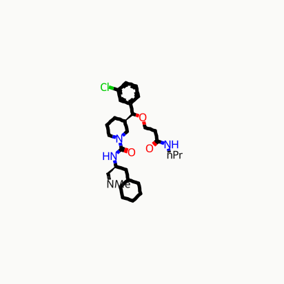 CCCNC(=O)CCOC(c1cccc(Cl)c1)[C@@H]1CCCN(C(=O)N[C@H](CNC)CC2CCCCC2)C1